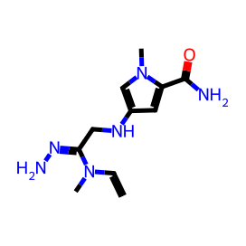 C=CN(C)/C(CNc1cc(C(N)=O)n(C)c1)=N\N